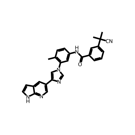 Cc1ccc(NC(=O)c2cccc(C(C)(C)C#N)c2)cc1-n1cnc(-c2cnc3[nH]ccc3c2)c1